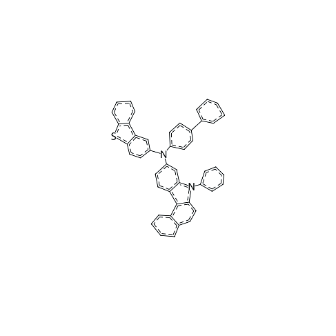 c1ccc(-c2ccc(N(c3ccc4sc5ccccc5c4c3)c3ccc4c5c6ccccc6ccc5n(-c5ccccc5)c4c3)cc2)cc1